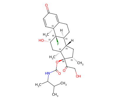 CC(C)C(C)NC(=O)O[C@]1(C(=O)CO)[C@@H](C)C[C@H]2[C@@H]3CCC4=CC(=O)C=C[C@]4(C)[C@@]3(F)[C@@H](O)C[C@@]21C